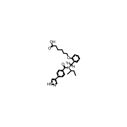 [2H]C([2H])(c1ccccc1OCCCCCC(=O)O)N(C(=O)c1ccc(-c2cn[nH]c2)cc1)C(C)CC